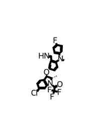 C[C@H]1[C@H](Oc2ccc(N(C)c3ccc(F)cc3)c(C=N)c2)c2ccc(Cl)cc2N1C(=O)C(F)(F)F